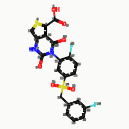 O=C(O)c1scc2[nH]c(=O)n(-c3cc(S(=O)(=O)Cc4cccc(F)c4)ccc3F)c(=O)c12